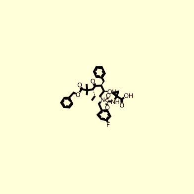 CC[C@@H](C(=O)[C@@H](Cc1ccccc1)[C@@H](O)CN(Cc1ccc(F)cc1)S(=O)(=O)NC1(C(=O)O)CC1)C(C)(C)C(=O)OCc1ccccc1